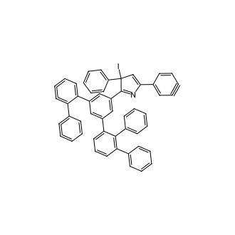 IC1(c2ccccc2)C=C(c2cc#ccc2)N=C1c1cc(C2=CC=C=C=C2C2=C=C=CC=C2)cc(-c2cccc(-c3ccccc3)c2-c2ccccc2)c1